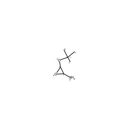 CC(C)(C)OC1OC1N